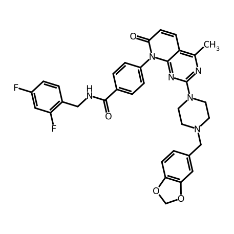 Cc1nc(N2CCN(Cc3ccc4c(c3)OCO4)CC2)nc2c1ccc(=O)n2-c1ccc(C(=O)NCc2ccc(F)cc2F)cc1